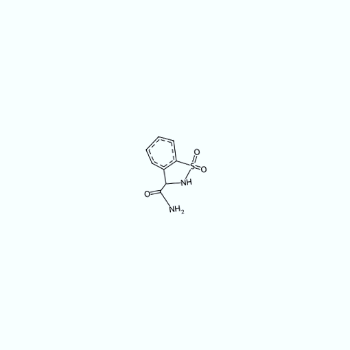 NC(=O)C1NS(=O)(=O)c2ccccc21